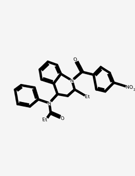 CCC(=O)N(c1ccccc1)C1CC(CC)N(C(=O)c2ccc([N+](=O)[O-])cc2)c2ccccc21